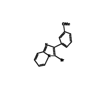 COc1cccc(-c2nc3ccccn3c2Br)c1